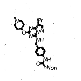 CCCCCCCCCC(=O)Nc1ccc(CNc2nc(OC3CCN(C)CC3)nc3c(C(C)C)cnn23)cc1